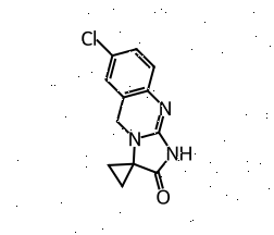 O=C1NC2=Nc3ccc(Cl)cc3CN2C12CC2